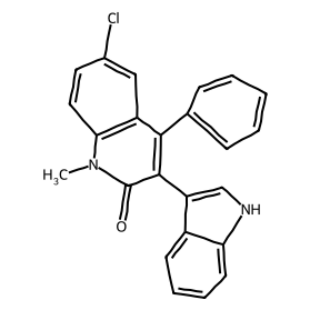 Cn1c(=O)c(-c2c[nH]c3ccccc23)c(-c2ccccc2)c2cc(Cl)ccc21